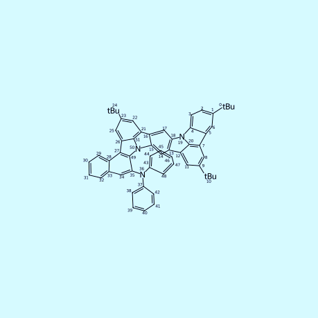 CC(C)(C)c1ccc2c(c1)c1cc(C(C)(C)C)cc3c4cc5c(cc4n2c13)c1cc(C(C)(C)C)cc2c3c4ccccc4cc(N(c4ccccc4)c4ccccc4)c3n5c12